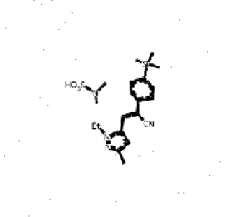 CCn1nc(C)cc1/C=C(\C#N)c1ccc([Si](C)(C)C)cc1.CN(C)S(=O)(=O)O